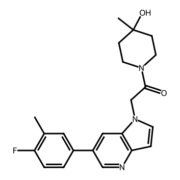 Cc1cc(-c2cnc3ccn(CC(=O)N4CCC(C)(O)CC4)c3c2)ccc1F